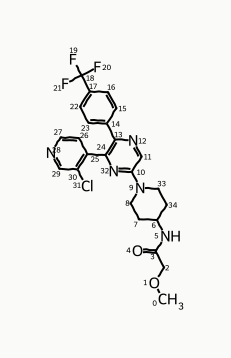 COCC(=O)NC1CCN(c2cnc(-c3ccc(C(F)(F)F)cc3)c(-c3ccncc3Cl)n2)CC1